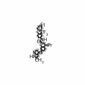 CCN1CCN(Cc2ccc(NC(=O)N3Cc4cc(Oc5ccnc6[nH]c(C)cc56)ccc4C(C(C)C)C3)cc2C(F)(F)F)CC1